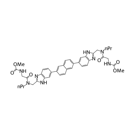 CCCN(Cc1nc2ccc(-c3ccc4cc(-c5ccc6nc(CN(CCC)C(=O)CNC(=O)OC)[nH]c6c5)ccc4c3)cc2[nH]1)C(=O)CNC(=O)OC